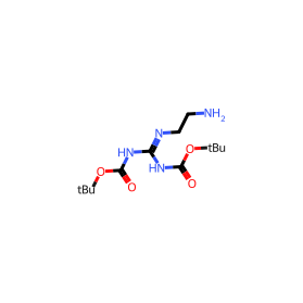 CC(C)(C)OC(=O)NC(=NCCN)NC(=O)OC(C)(C)C